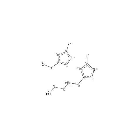 Cc1nc(CCl)cs1.Cc1nc(CNCCO)cs1